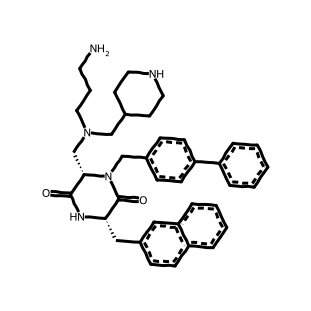 NCCCN(CC1CCNCC1)C[C@H]1C(=O)N[C@@H](Cc2ccc3ccccc3c2)C(=O)N1Cc1ccc(-c2ccccc2)cc1